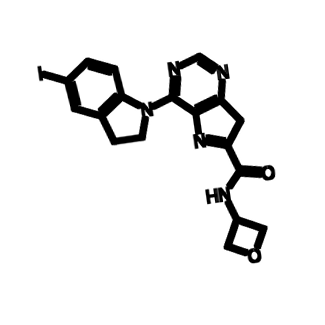 O=C(NC1COC1)C1=Nc2c(ncnc2N2CCc3cc(I)ccc32)C1